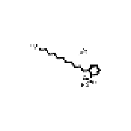 CCCCCCCCCCCCc1ccccc1S(=O)(=O)O.[Mn].[Zn]